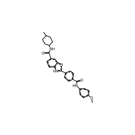 COc1ccc(NC(=O)c2ccc(-c3nc4cc(C(=O)NC5CCC(C)CC5)ccc4[nH]3)cc2)cc1